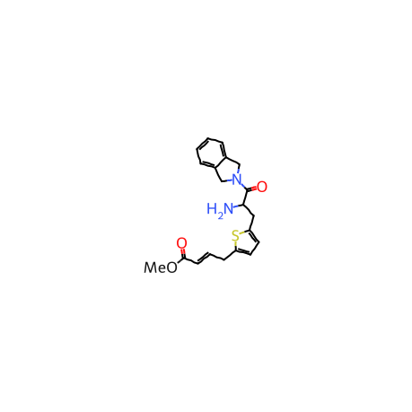 COC(=O)C=CCc1ccc(CC(N)C(=O)N2Cc3ccccc3C2)s1